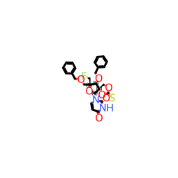 O=c1ccn([C@@H]2O[C@](CF)(COCc3ccccc3)[C@@H](OCc3ccccc3)[C@@]23COC(=S)O3)c(=O)[nH]1